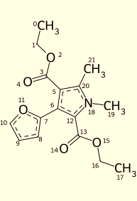 CCOC(=O)c1c(-c2ccco2)c(C(=O)OCC)n(C)c1C